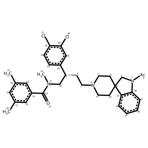 CC(=O)N1CC2(CCN(CC[C@H](CN(C)C(=O)c3cc(C)cc(C)c3)c3ccc(Cl)c(Cl)c3)CC2)c2ccccc21